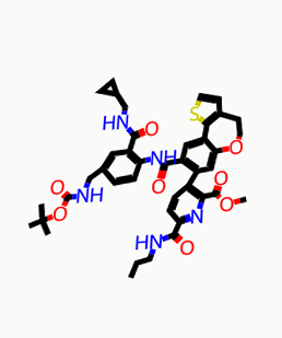 CCCNC(=O)c1ccc(-c2cc3c(cc2C(=O)Nc2ccc(CNC(=O)OC(C)(C)C)cc2C(=O)NCC2CC2)-c2sccc2CCO3)c(C(=O)OC)n1